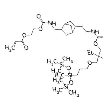 C=CC(=O)OCCOC(=O)NCC1CC2CC1CC2CCNC(=O)OCC(CC)(CC)COCCC[Si](C)(O[Si](C)(C)C)O[Si](C)(C)C